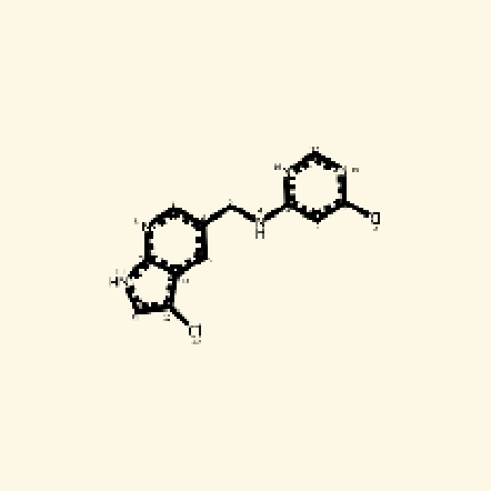 Clc1cc(NCc2cnc3[nH]cc(Cl)c3c2)ncn1